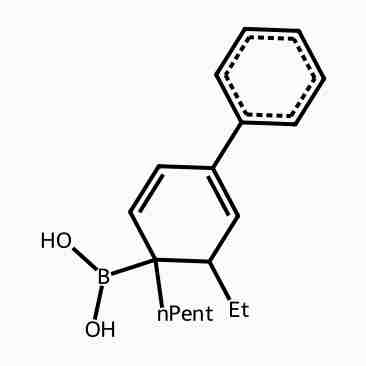 CCCCCC1(B(O)O)C=CC(c2ccccc2)=CC1CC